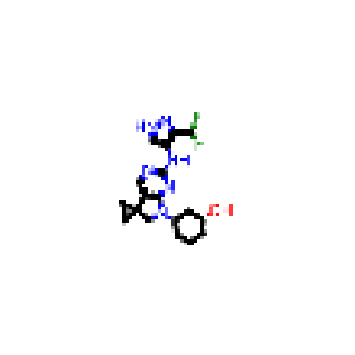 O[C@@H]1CCC[C@@H](N2CC3(CC3)c3cnc(Nc4c[nH]nc4C(F)F)nc32)C1